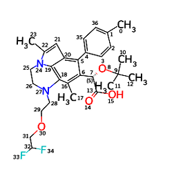 Cc1ccc(-c2c([C@H](OC(C)(C)C)C(=O)O)c(C)c3c4c2cc(C)n4CCN3CCOCC(F)F)cc1